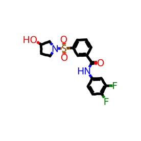 O=C(Nc1ccc(F)c(F)c1)c1cccc(S(=O)(=O)N2CCC(O)C2)c1